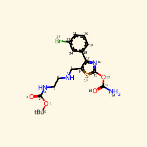 CC(C)(C)OC(=O)NCCNCc1sc(OC(N)=O)nc1-c1cccc(Br)c1